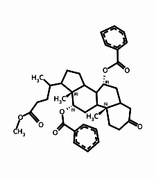 COC(=O)CCC(C)C1CCC2C3C(C[C@H](OC(=O)c4ccccc4)[C@]12C)[C@@]1(C)CCC(=O)CC1C[C@H]3OC(=O)c1ccccc1